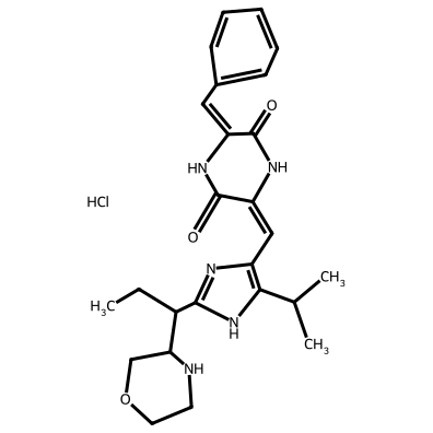 CCC(c1nc(C=c2[nH]c(=O)c(=Cc3ccccc3)[nH]c2=O)c(C(C)C)[nH]1)C1COCCN1.Cl